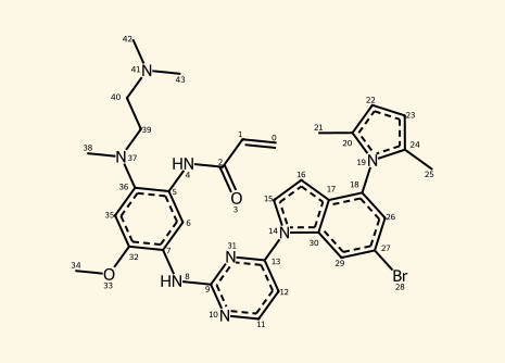 C=CC(=O)Nc1cc(Nc2nccc(-n3ccc4c(-n5c(C)ccc5C)cc(Br)cc43)n2)c(OC)cc1N(C)CCN(C)C